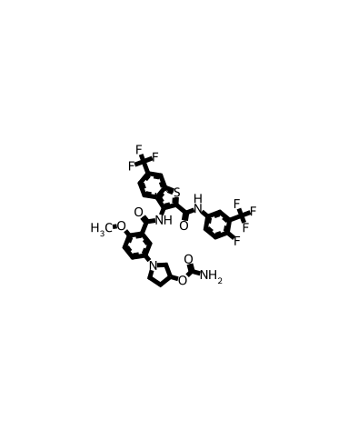 COc1ccc(N2CCC(OC(N)=O)C2)cc1C(=O)Nc1c(C(=O)Nc2ccc(F)c(C(F)(F)F)c2)sc2cc(C(F)(F)F)ccc12